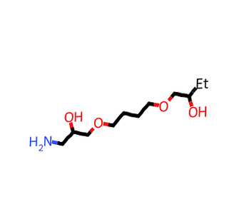 CCC(O)COCCCCOCC(O)CN